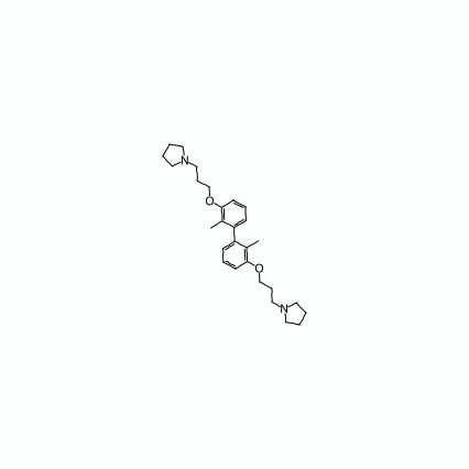 Cc1c(OCCCN2CCCC2)cccc1-c1cccc(OCCCN2CCCC2)c1C